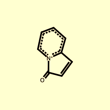 O=C1C=Cc2cccc[n+]21